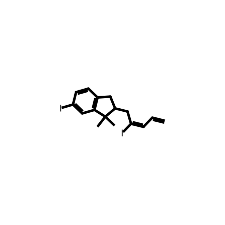 C=C/C=C(/I)CC1Cc2ccc(I)cc2C1(C)C